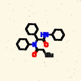 CC(C)(C)CC(=O)N(C1CCCCC1)C(C(=O)NC1CCCCC1)C1CCCCC1